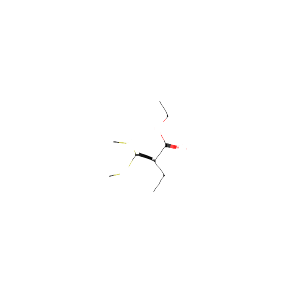 CCOC(=O)C(CC)=C(SC)SC